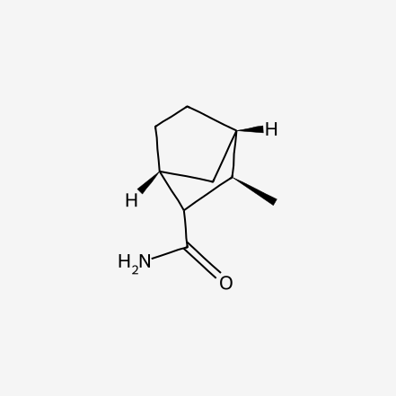 C[C@H]1C(C(N)=O)[C@@H]2CC[C@H]1C2